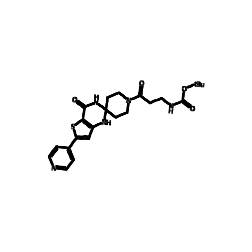 CC(C)(C)OC(=O)NCCC(=O)N1CCC2(CC1)NC(=O)c1sc(-c3ccncc3)cc1N2